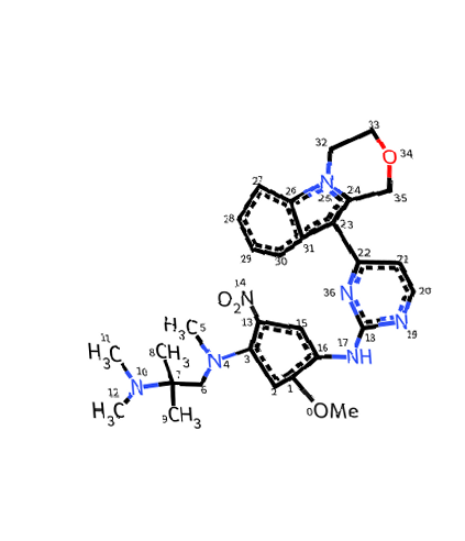 COc1cc(N(C)CC(C)(C)N(C)C)c([N+](=O)[O-])cc1Nc1nccc(-c2c3n(c4ccccc24)CCOC3)n1